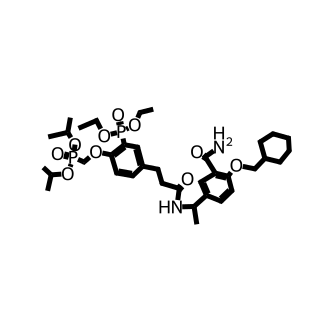 CCOP(=O)(OCC)c1cc(CCC(=O)NC(C)c2ccc(OCC3CCCCC3)c(C(N)=O)c2)ccc1OCP(=O)(OC(C)C)OC(C)C